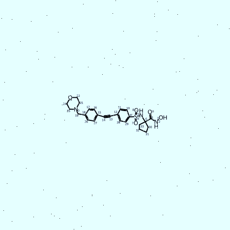 O=C(NO)C1(NS(=O)(=O)c2ccc(C#Cc3ccc(CN4CCOCC4)cc3)cc2)CCCC1